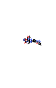 CC1COCCN1c1nc(-c2ccc(NC(=O)NC3CCC3)cc2)nc2c1CN(C(=O)c1cnco1)CC2